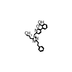 CCCCc1nc(CCc2ccccc2)nn1Cc1ccc(-c2ccccc2C(=O)O)cn1